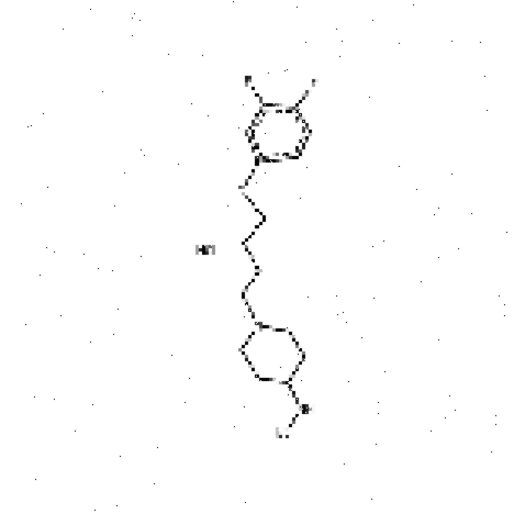 CCNC1CCN(CCCCOc2ccc(F)c(F)c2)CC1.Cl